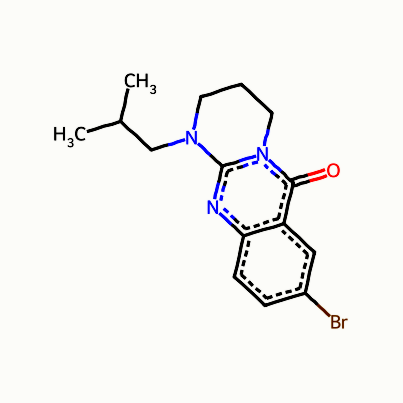 CC(C)CN1CCCn2c1nc1ccc(Br)cc1c2=O